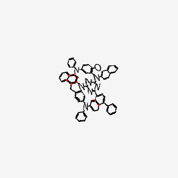 C1=CC(N(c2ccccc2)c2ccc3c(c2)N(c2nc(-c4ccc(-c5ccccc5)cc4)nc(N4c5cc(N(c6ccccc6)c6ccccc6)ccc5Oc5c4ccc4ccccc54)n2)c2ccc4ccccc4c2C3)=CCC1